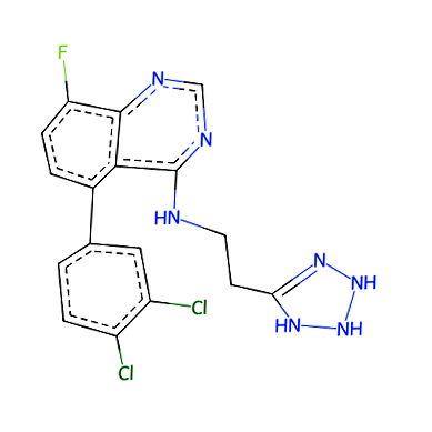 Fc1ccc(-c2ccc(Cl)c(Cl)c2)c2c(NCCC3=NNNN3)ncnc12